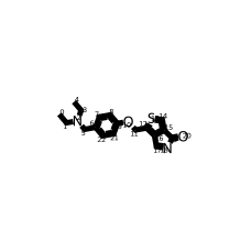 CCN(CC)Cc1ccc(OCc2scc3c2C=NC3=O)cc1